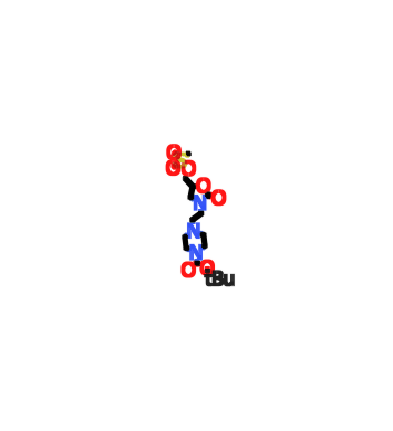 CC(C)(C)OC(=O)N1CCN(CCN2CC(COS(C)(=O)=O)OC2=O)CC1